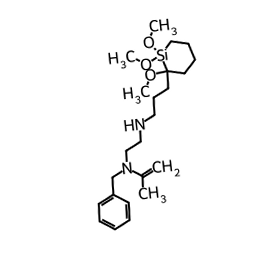 C=C(C)N(CCNCCCC1(OC)CCCC[Si]1(OC)OC)Cc1ccccc1